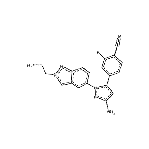 N#Cc1ccc(-c2cc(N)nn2-c2ccc3nn(CCO)cc3c2)cc1F